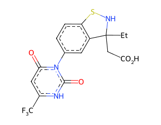 CCC1(CC(=O)O)NSc2ccc(-n3c(=O)cc(C(F)(F)F)[nH]c3=O)cc21